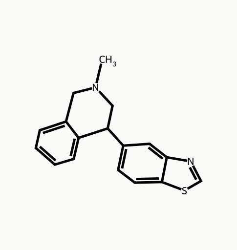 CN1Cc2ccccc2C(c2ccc3scnc3c2)C1